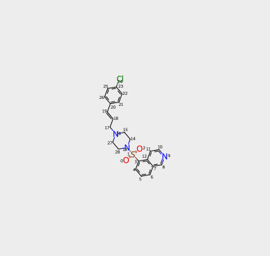 O=S(=O)(c1cccc2cnccc12)N1CCN(CC=Cc2ccc(Cl)cc2)CC1